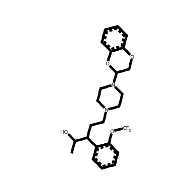 CC(O)C(CCN1CCN(C2COc3ccccc3O2)CC1)c1ccccc1OC(F)(F)F